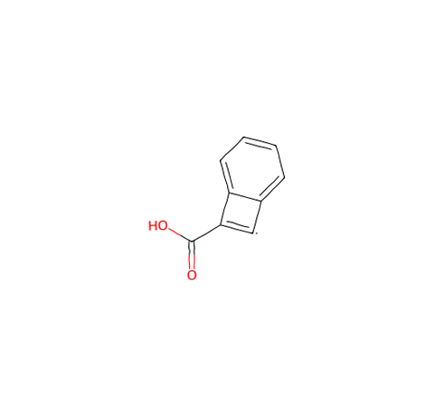 O=C(O)C1=[C]c2ccccc21